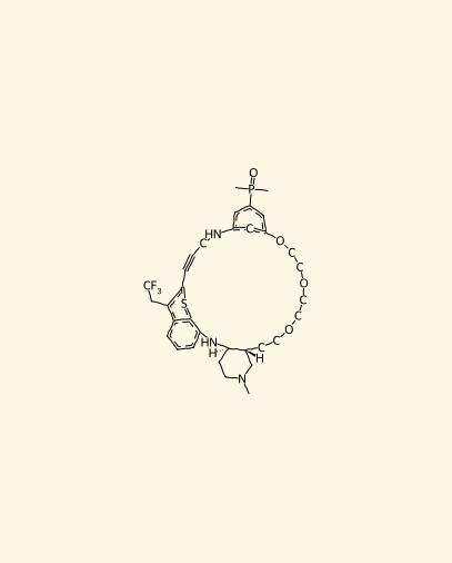 CN1CC[C@H]2Nc3cccc4c(CC(F)(F)F)c(sc34)C#CCNc3cc(cc(P(C)(C)=O)c3)OCCOCCOCC[C@@H]2C1